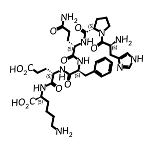 NCCCC[C@H](NC(=O)[C@H](CCC(=O)O)NC(=O)[C@H](Cc1ccccc1)NC(=O)[C@H](CCC(N)=O)NC(=O)[C@@H]1CCCN1C(=O)[C@@H](N)Cc1c[nH]cn1)C(=O)O